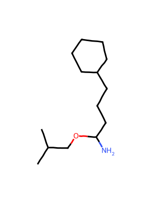 CC(C)COC(N)CCCC1CCCCC1